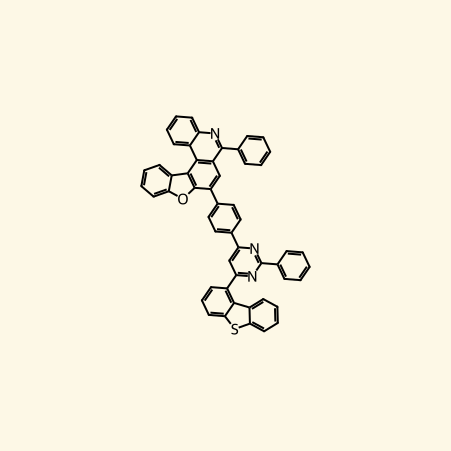 c1ccc(-c2nc(-c3ccc(-c4cc5c(-c6ccccc6)nc6ccccc6c5c5c4oc4ccccc45)cc3)cc(-c3cccc4sc5ccccc5c34)n2)cc1